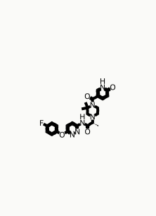 C[C@H](C(=O)Nc1ccc(Oc2ccc(F)cc2)nn1)N1CCN(C(=O)c2ccc(=O)[nH]c2)C(C)(C)C1